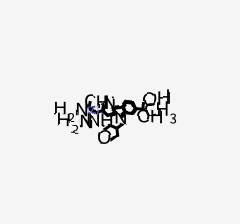 C/C(N)=C(/NN)c1cnc2c3ccc(C(C)(O)CO)cc3n(CC3CCOCC3)c2c1